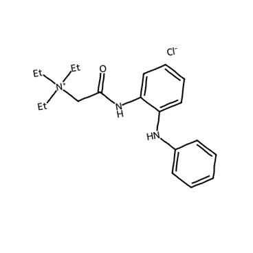 CC[N+](CC)(CC)CC(=O)Nc1ccccc1Nc1ccccc1.[Cl-]